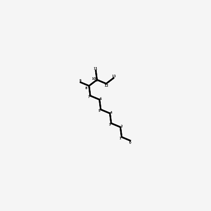 CCCCCCCCC(C)[C](C)CC